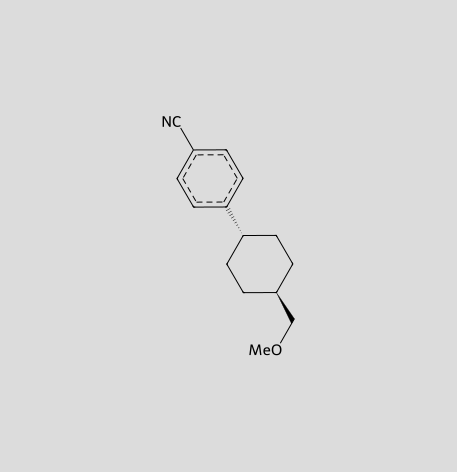 COC[C@H]1CC[C@H](c2ccc(C#N)cc2)CC1